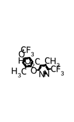 Cc1cc(OC(F)(F)F)ccc1Oc1nnc(C(F)(F)F)c(C)c1C(=O)O